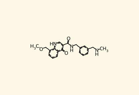 CNCc1cccc(CNC(=O)c2c[nH]c3c(COC)cccc3c2=O)c1